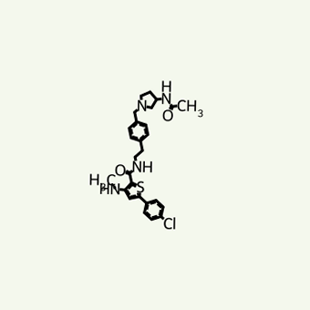 CNc1cc(-c2ccc(Cl)cc2)sc1C(=O)NCCc1ccc(CN2CCC(NC(C)=O)C2)cc1